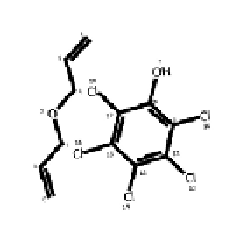 C=CCOCC=C.Oc1c(Cl)c(Cl)c(Cl)c(Cl)c1Cl